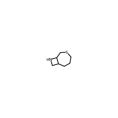 C1CSCC2NCC2C1